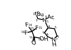 CC(=O)N(CC(C)(C)C)C1CCNCC1.O=C(O)C(F)(F)F